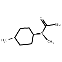 CN(C(=O)C(C)(C)C)[C@H]1CC[C@H](C)CC1